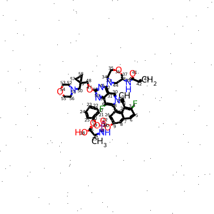 C#Cc1c(F)ccc2cc(OP(=O)(N[C@@H](C)C(=O)O)Oc3ccccc3)cc(-c3ncc4c(N5CCOC[C@@H](NC(=O)C=C)C5)nc(OCC5(CN6CCOCC6)CC5)nc4c3F)c12